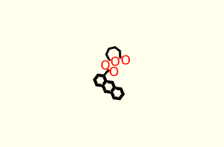 O=C1CCCCC(OC(=O)c2cccc3cc4ccccc4cc23)O1